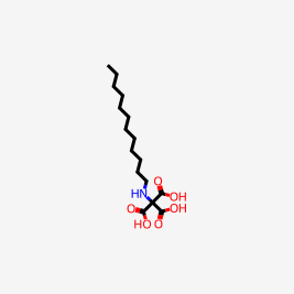 CCCCCCCCCCCCNC(C(=O)O)(C(=O)O)C(=O)O